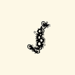 C[C@@H]1CC(COC(=O)C(C)(C)C)OC2C[C@@]3(C)C4CCC5C(C)(C)C(OC6CN(C7COC7)CCO6)CCC56CC46CCC3(C)C21